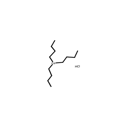 CCC[CH2][Ge]([CH2]CCC)[CH2]CCC.Cl